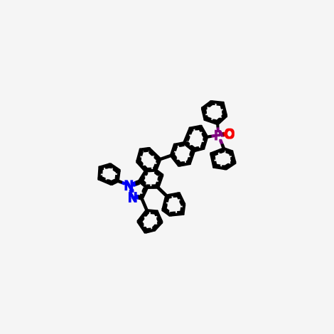 O=P(c1ccccc1)(c1ccccc1)c1ccc2cc(-c3cccc4c3cc(-c3ccccc3)c3c(-c5ccccc5)nn(-c5ccccc5)c34)ccc2c1